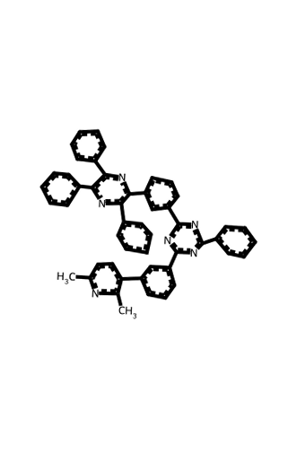 Cc1ccc(-c2cccc(-c3nc(-c4ccccc4)nc(-c4cccc(-c5nc(-c6ccccc6)c(-c6ccccc6)nc5-c5ccccc5)c4)n3)c2)c(C)n1